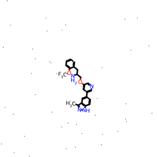 Cc1n[nH]c2ccc(-c3cncc(OCC(N)Cc4ccccc4OC(F)(F)F)c3)cc12